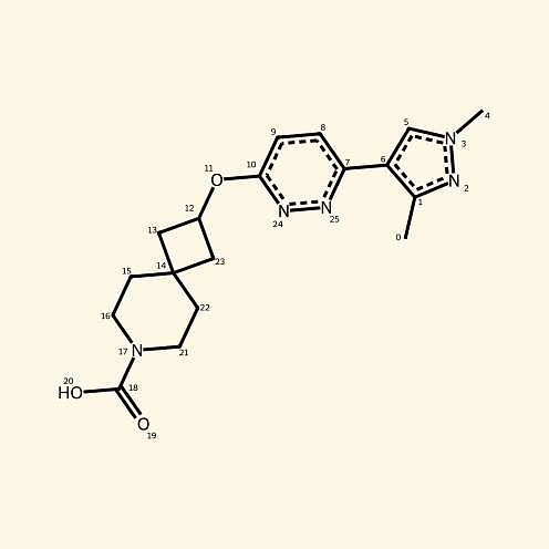 Cc1nn(C)cc1-c1ccc(OC2CC3(CCN(C(=O)O)CC3)C2)nn1